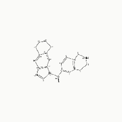 C[C@H](c1ccc2c(c1)CCNC2)n1cnc2cc3c(cc21)CCCC3